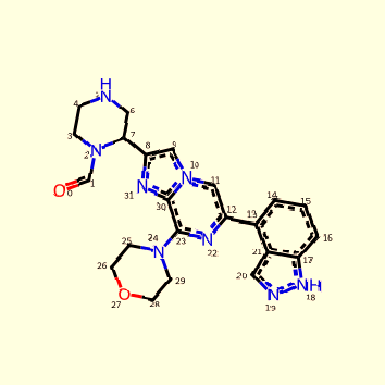 O=CN1CCNCC1c1cn2cc(-c3cccc4[nH]ncc34)nc(N3CCOCC3)c2n1